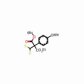 CCOC(=O)C(C(=O)OC(C)(C)C)(c1ccc(OC)cc1)C(F)F